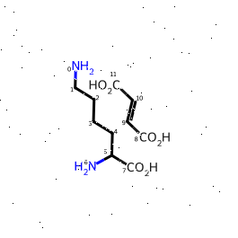 NCCCCC(N)C(=O)O.O=C(O)C=CC(=O)O